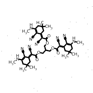 CNC1=C(C#N)/C(=C(\C#N)C(=O)OCC(COC(=O)/C(C#N)=C2\CC(C)(C)CC(NC)=C2C#N)COC(=O)/C(C#N)=C2\CC(C)(C)CC(NC)=C2C#N)CC(C)(C)C1